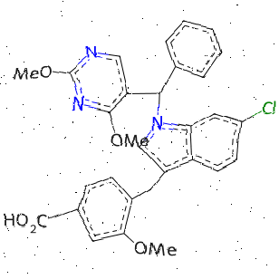 COc1ncc(C(c2ccccc2)n2cc(Cc3ccc(C(=O)O)cc3OC)c3ccc(Cl)cc32)c(OC)n1